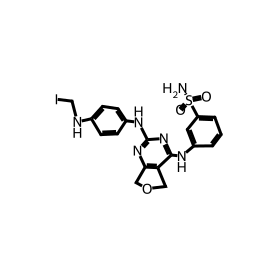 NS(=O)(=O)c1cccc(Nc2nc(Nc3ccc(NCI)cc3)nc3c2COC3)c1